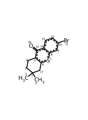 CC1(C)CCc2c(sc3cc(Br)ccc3c2=O)C1